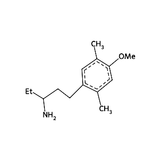 CCC(N)CCc1cc(C)c(OC)cc1C